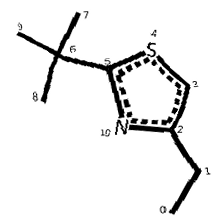 CCc1csc(C(C)(C)C)n1